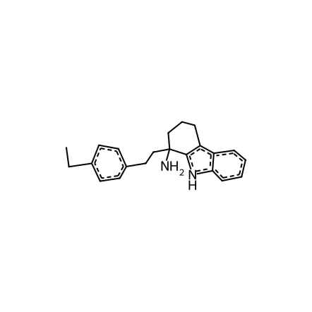 CCc1ccc(CCC2(N)CCCc3c2[nH]c2ccccc32)cc1